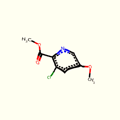 COC(=O)c1ncc(OC)cc1Cl